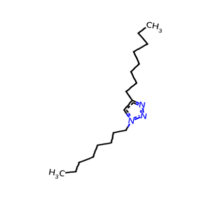 CCCCCCCCc1cn(CCCCCCCC)nn1